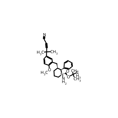 COc1ccc(C(C)(C)C#CC#N)cc1C[C@@H]1CCC[N+](N)(C(=O)OC(C)(C)C)[C@@H]1c1ccccc1